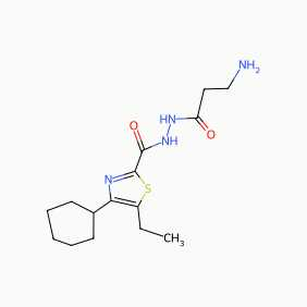 CCc1sc(C(=O)NNC(=O)CCN)nc1C1CCCCC1